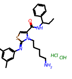 CCC(NC(=O)c1cs/c(=N\c2cc(C)cc(C)c2)n1CCCCCN)c1ccccc1.Cl.Cl